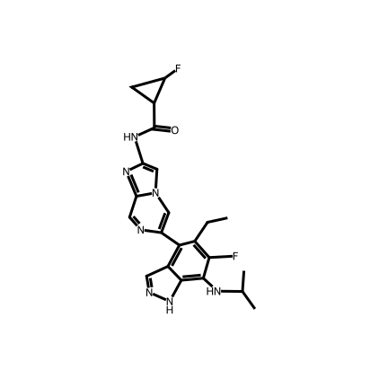 CCc1c(F)c(NC(C)C)c2[nH]ncc2c1-c1cn2cc(NC(=O)C3CC3F)nc2cn1